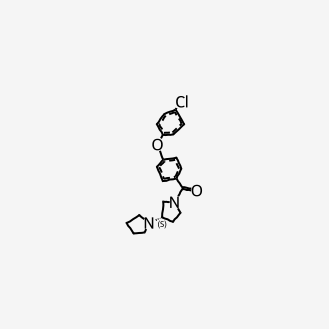 O=C(c1ccc(Oc2ccc(Cl)cc2)cc1)N1CC[C@H](N2CCCC2)C1